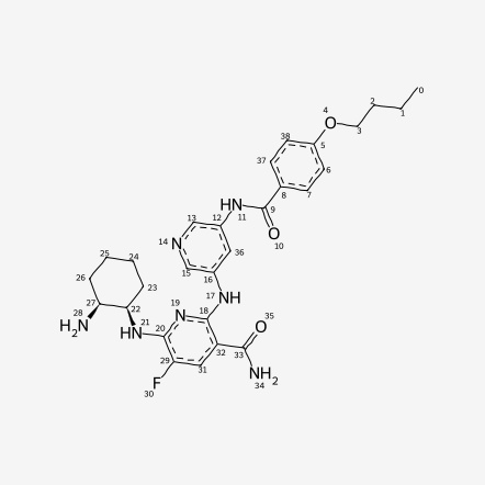 CCCCOc1ccc(C(=O)Nc2cncc(Nc3nc(N[C@@H]4CCCC[C@@H]4N)c(F)cc3C(N)=O)c2)cc1